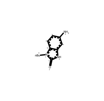 CCCCn1c(=O)[nH]c2cc(N)ccc21